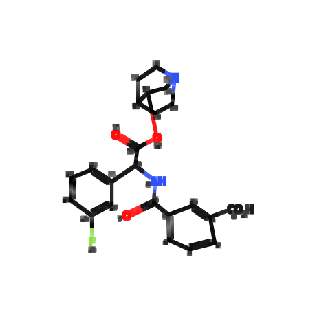 O=C(O)c1cccc(C(=O)NC(C(=O)OC2CN3CCC2CC3)c2cccc(F)c2)c1